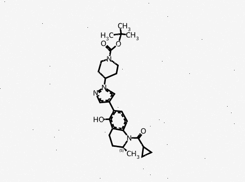 C[C@H]1CCc2c(ccc(-c3cnn(C4CCN(C(=O)OC(C)(C)C)CC4)c3)c2O)N1C(=O)C1CC1